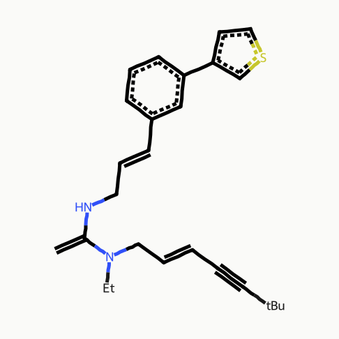 C=C(NCC=Cc1cccc(-c2ccsc2)c1)N(CC)CC=CC#CC(C)(C)C